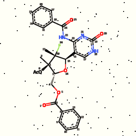 CC(=O)O[C@]1(C)[C@@H](COC(=O)c2ccccc2)O[C@H](c2c[nH]c(=O)nc2NC(=O)c2ccccc2)[C@@]1(C)F